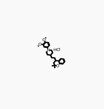 COc1ccc(N2CCC(CCC3CC(C)(C)Oc4ccccc43)CC2)cc1OC.Cl